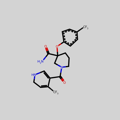 NC(=O)C1(Oc2ccc(C(F)(F)F)cc2)CCCN(C(=O)C2=CNCC=C2C(F)(F)F)C1